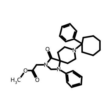 COC(=O)CN1CN(c2ccccc2)C2(CCN(C3(c4ccccc4)CCCCCC3)CC2)C1=O